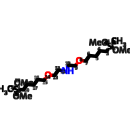 CO[Si](C)(CCCCCOCCNCCOCCCCC[Si](C)(OC)OC)OC